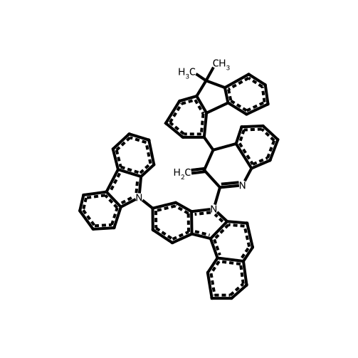 C=C1C(n2c3cc(-n4c5ccccc5c5ccccc54)ccc3c3c4ccccc4ccc32)=Nc2ccccc2C1c1cccc2c1-c1ccccc1C2(C)C